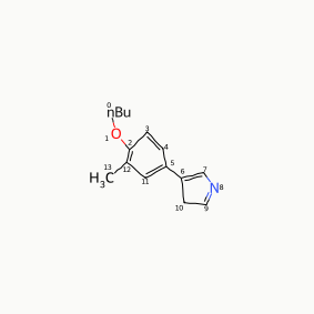 CCCCOc1ccc(C2=CN=CC2)cc1C